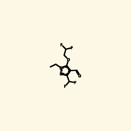 CCn1nc(C(F)F)c(C=O)c1OCC(F)F